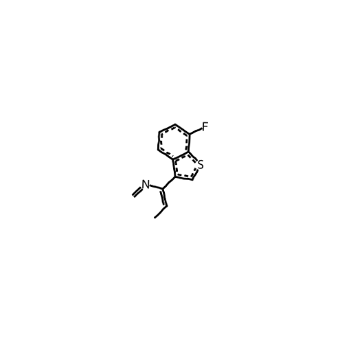 C=N/C(=C\C)c1csc2c(F)cccc12